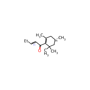 CC/C=C/C(=O)C1=C(C)C[C@H](C)CC1(C)C